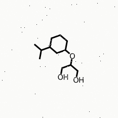 CC(C)C1CCCC(OC(CO)CO)C1